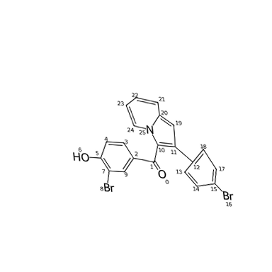 O=C(c1ccc(O)c(Br)c1)c1c(-c2ccc(Br)cc2)cc2ccccn12